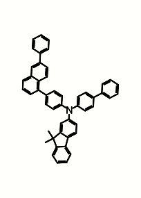 CC1(C)c2ccccc2-c2ccc(N(c3ccc(-c4ccccc4)cc3)c3ccc(-c4cccc5cc(-c6ccccc6)ccc45)cc3)cc21